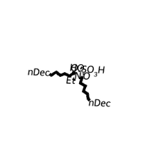 CCCCCCCCCCCCCCCC(=O)[N+](C)(CC)C(=O)CCCCCCCCCCCCCCC.O=S(=O)(O)O